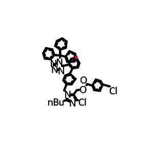 CCCCc1nc(Cl)c(COC(=O)c2ccc(CCl)cc2)n1Cc1ccc(-c2ccccc2-c2nnnn2C(c2ccccc2)(c2ccccc2)c2ccccc2)cc1